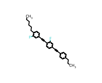 CCCCCCc1ccc(C#Cc2ccc(C#Cc3ccc(CCC)cc3)cc2F)cc1F